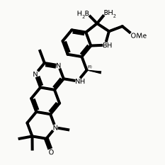 BC1(B)c2cccc([C@@H](C)Nc3nc(C)nc4cc5c(cc34)N(C)C(=O)C(C)(C)C5)c2BC1COC